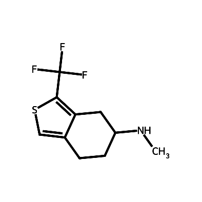 CNC1CCc2csc(C(F)(F)F)c2C1